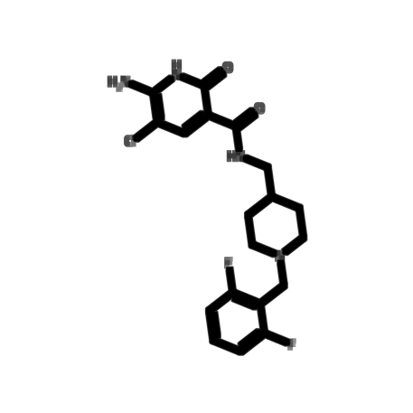 Nc1[nH]c(=O)c(C(=O)NCC2CCN(Cc3c(F)cccc3F)CC2)cc1Cl